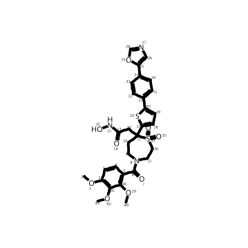 COc1ccc(C(=O)N2CCC(CC(=O)NO)(c3ccc(-c4ccc(-c5cnco5)cc4)s3)S(=O)(=O)CC2)c(OC)c1OC